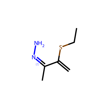 C=C(SCC)/C(C)=N\N